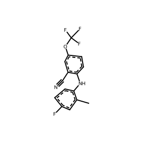 Cc1cc(F)ccc1Nc1ccc(OC(F)(F)F)cc1C#N